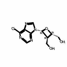 OC[C@H]1[C@H](n2cnc3c(Cl)ncnc32)O[C@@H]1CO